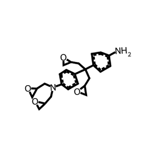 Nc1ccc(C(CC2CO2)(CC2CO2)c2ccc(N(CC3CO3)CC3CO3)cc2)cc1